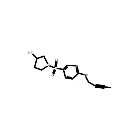 CC#CCNc1ccc(S(=O)(=O)N2CCC(S)C2)cn1